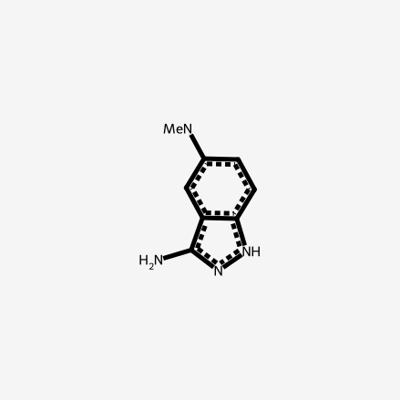 CNc1ccc2[nH]nc(N)c2c1